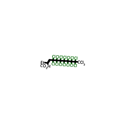 CCC(=CC(Cl)(Cl)C(Cl)(Cl)C(Cl)(Cl)C(Cl)(Cl)C(Cl)(Cl)C(Cl)(Cl)C(Cl)(Cl)C(Cl)(Cl)Cl)C(=O)O